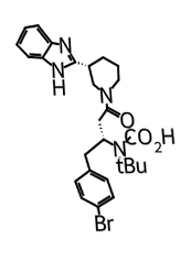 CC(C)(C)N(C(=O)O)[C@@H](CC(=O)N1CCC[C@@H](c2nc3ccccc3[nH]2)C1)Cc1ccc(Br)cc1